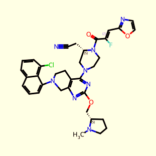 CN1CCC[C@H]1COc1nc2c(c(N3CCN(C(=O)/C(F)=C/c4ncco4)[C@@H](CC#N)C3)n1)CCN(c1cccc3cccc(Cl)c13)C2